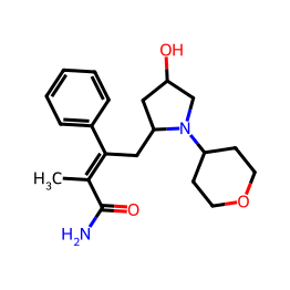 CC(C(N)=O)=C(CC1CC(O)CN1C1CCOCC1)c1ccccc1